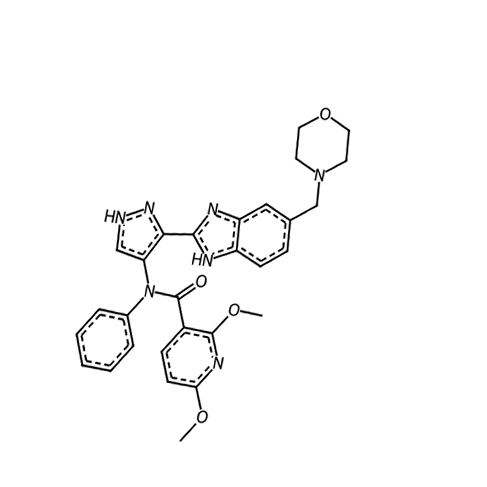 COc1ccc(C(=O)N(c2ccccc2)c2c[nH]nc2-c2nc3cc(CN4CCOCC4)ccc3[nH]2)c(OC)n1